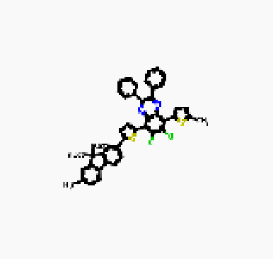 CCCCCCCCC1(CCCCCCCC)c2cc(C)ccc2-c2ccc(-c3ccc(-c4c(Cl)c(Cl)c(-c5ccc(C)s5)c5nc(-c6ccccc6)c(-c6ccccc6)nc45)s3)cc21